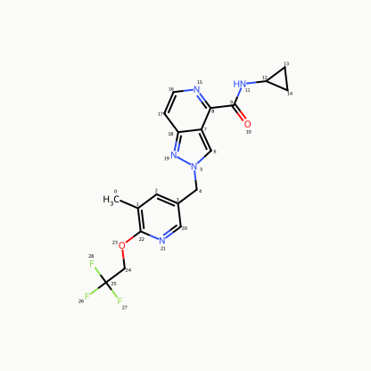 Cc1cc(Cn2cc3c(C(=O)NC4CC4)nccc3n2)cnc1OCC(F)(F)F